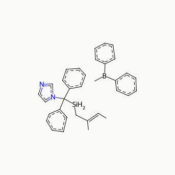 CB(c1ccccc1)c1ccccc1.CC=C(C)C[SiH2]C(c1ccccc1)(c1ccccc1)n1ccnc1